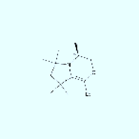 CCC1=C2N([C@@H](C)CO1)C(C)(C)CC2(C)C